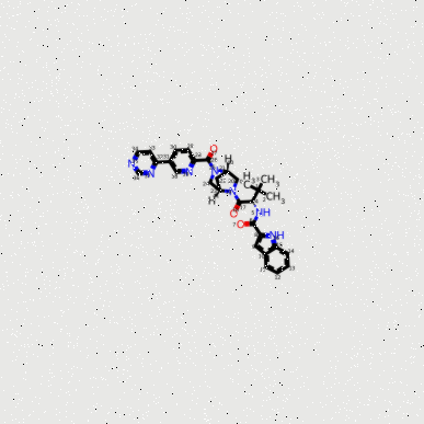 CC(C)(C)[C@H](NC(=O)c1cc2ccccc2[nH]1)C(=O)N1C[C@@H]2C[C@H]1CN2C(=O)c1ccc(-c2ccncn2)cn1